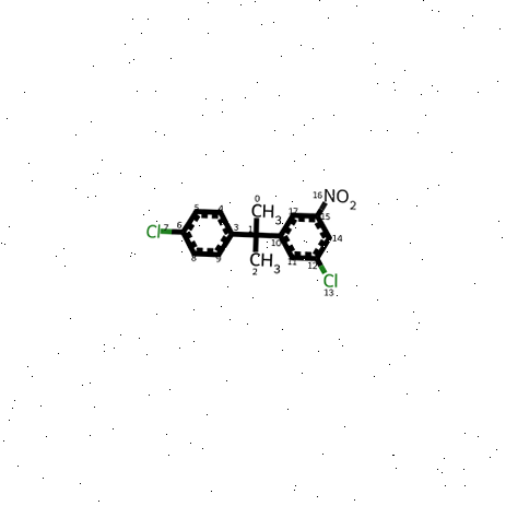 CC(C)(c1ccc(Cl)cc1)c1cc(Cl)cc([N+](=O)[O-])c1